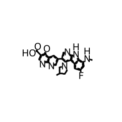 CNc1cc(F)cc2c1[nH]c1ncc(-c3cnc4c(c3)c(=O)c(C(=O)O)cn4C)c(N3CCC(C)C3)c12